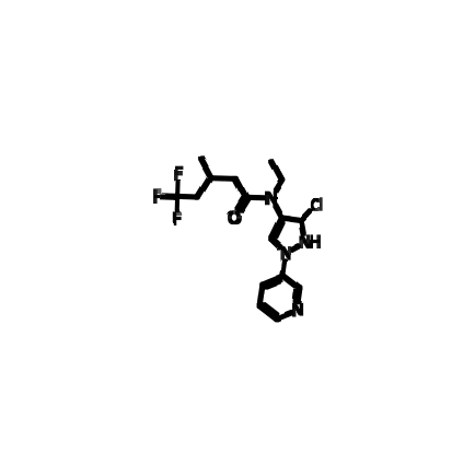 CCN(C(=O)CC(C)CC(F)(F)F)C1=CN(c2cccnc2)NC1Cl